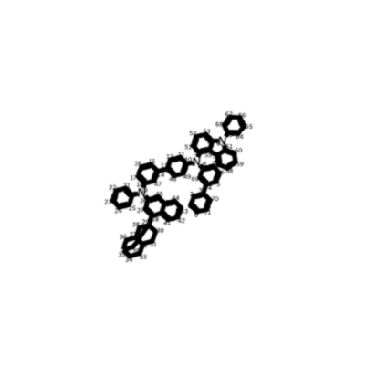 c1ccc(-c2cccc(N(c3ccc(-c4cccc(N(c5ccccc5)c5cc(C67CCC8CCC(CC8C6)C7)c6ccccc6c5)c4)cc3)c3cccc4c3c3ccccc3n4-c3ccccc3)c2)cc1